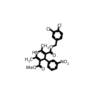 COC(=O)C1=C(C)NC(C)=C(C(=O)OCc2ccc(Cl)c(Cl)c2)C1c1cccc([N+](=O)[O-])c1